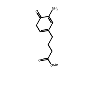 COC(=O)CCCC1=CCC(=O)C(N)=C1